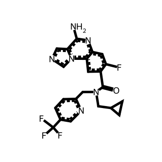 Nc1nc2cc(F)c(C(=O)N(Cc3ccc(C(F)(F)F)cn3)CC3CC3)cc2n2cncc12